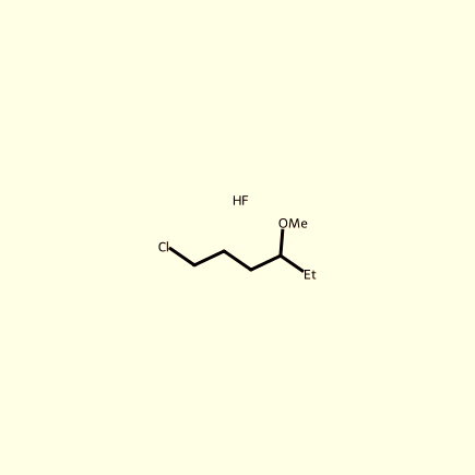 CCC(CCCCl)OC.F